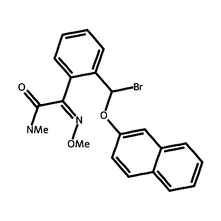 CNC(=O)C(=NOC)c1ccccc1C(Br)Oc1ccc2ccccc2c1